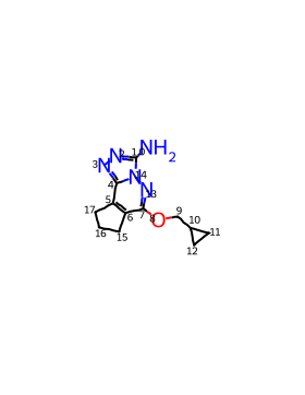 Nc1nnc2c3c(c(OCC4CC4)nn12)CCC3